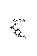 C[C](C)C[C@@H]1CCN(Nc2ncc(N)cn2)C1